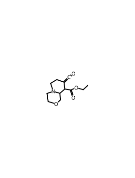 CCOC(=O)C1C(=C=O)CCN2CCOCC12